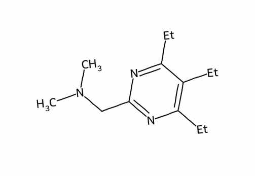 CCc1nc(CN(C)C)nc(CC)c1CC